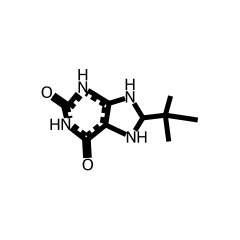 CC(C)(C)C1Nc2[nH]c(=O)[nH]c(=O)c2N1